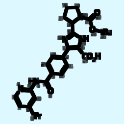 CC(C)c1ccnc(NC(=O)c2ccc(-c3nc(C4CCCN4C(=O)OC(C)(C)C)[nH]c3C(=O)O)cc2)c1